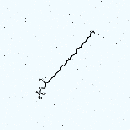 CCCCCCCCCCCCCCCCOCC(O)COP(=O)(O)O